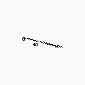 CCCCCCCCCCCCCCCCCCOCCCOCCCCCCCCN1C=CSC1.Cl